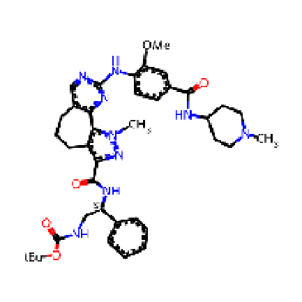 COc1cc(C(=O)NC2CCN(C)CC2)ccc1Nc1ncc2c(n1)-c1c(c(C(=O)N[C@H](CNC(=O)OC(C)(C)C)c3ccccc3)nn1C)CCC2